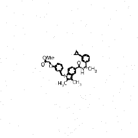 COC(=O)COc1cccc(Cn2c(C)c(C)c3cc(C(=O)N[C@@H](C)c4cccc(C5CC5)c4)ccc32)c1